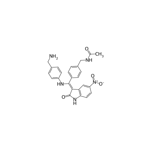 CC(=O)NCc1ccc(/C(Nc2ccc(CN)cc2)=C2/C(=O)Nc3ccc([N+](=O)[O-])cc32)cc1